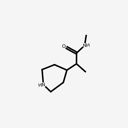 CNC(=O)C(C)C1CCNCC1